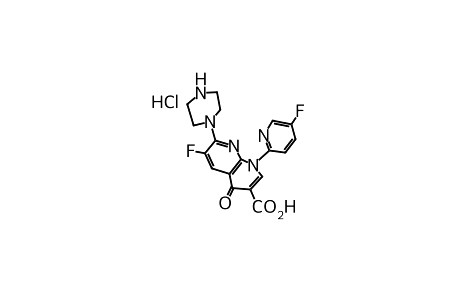 Cl.O=C(O)c1cn(-c2ccc(F)cn2)c2nc(N3CCNCC3)c(F)cc2c1=O